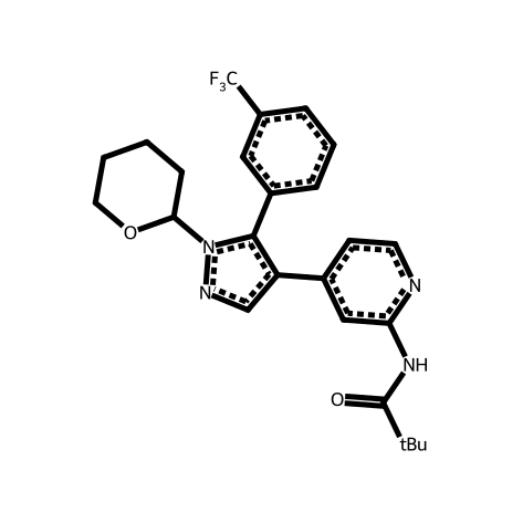 CC(C)(C)C(=O)Nc1cc(-c2cnn(C3CCCCO3)c2-c2cccc(C(F)(F)F)c2)ccn1